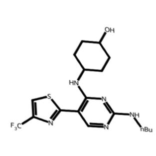 CCCCNc1ncc(-c2nc(C(F)(F)F)cs2)c(NC2CCC(O)CC2)n1